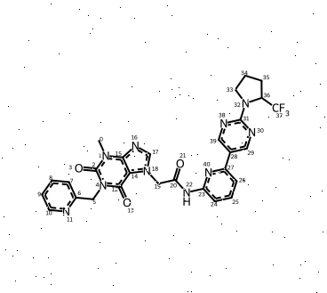 Cn1c(=O)n(Cc2ccccn2)c(=O)c2c1ncn2CC(=O)Nc1cccc(-c2cnc(N3CCCC3C(F)(F)F)nc2)n1